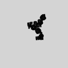 O=C(Nc1cc(C(F)(F)F)ccc1N1CCN(Cc2cn[nH]c2)CC1)c1ccc(-c2ccncc2)o1